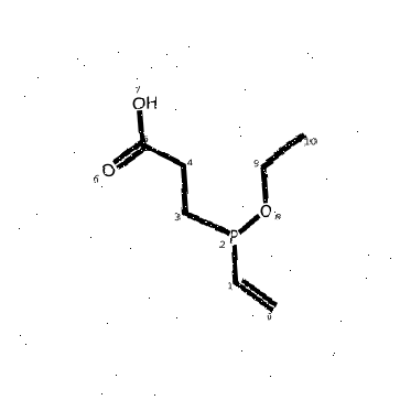 C=CP(CCC(=O)O)OCC